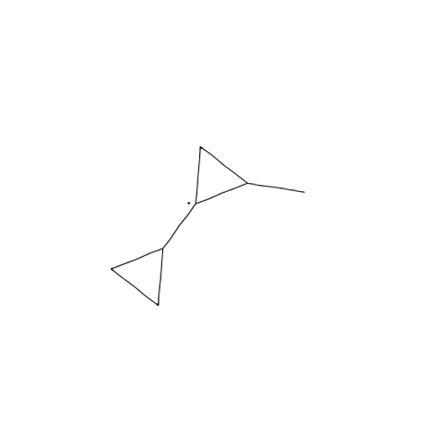 CC1C[C]1C1CC1